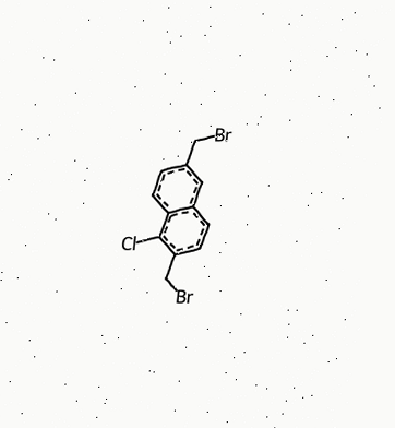 Clc1c(CBr)ccc2cc(CBr)ccc12